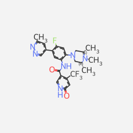 Cc1cc(-c2cc(NC(=O)c3c[nH]c(=O)cc3C(F)(F)F)c(N3C[C@@H](C)N(C)[C@@H](C)C3)cc2F)cnn1